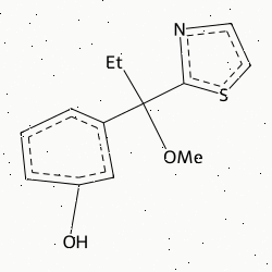 CCC(OC)(c1cccc(O)c1)c1nccs1